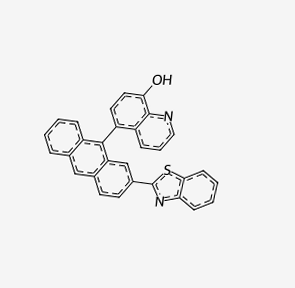 Oc1ccc(-c2c3ccccc3cc3ccc(-c4nc5ccccc5s4)cc23)c2cccnc12